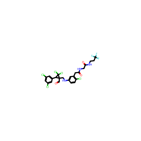 O=CC1(CNc2ccc(Cl)c(CC(=O)NCC(=O)NCCC(F)(F)F)c2)C(c2cc(Cl)cc(Cl)c2)C1(Cl)Cl